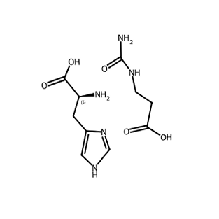 NC(=O)NCCC(=O)O.N[C@@H](Cc1c[nH]cn1)C(=O)O